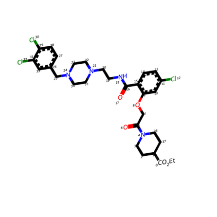 CCOC(=O)C1CCN(C(=O)COc2cc(Cl)ccc2C(=O)NCCN2CCN(Cc3ccc(Cl)c(Cl)c3)CC2)CC1